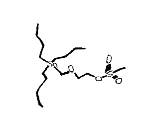 CCC[CH2][Sn]([CH2]CCC)([CH2]CCC)[CH2]OCCOS(C)(=O)=O